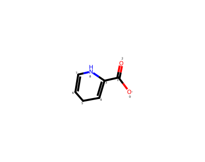 [O]C(=O)C1=CCC=CN1